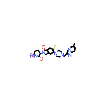 Cc1ccc2nc(CN3CCN(c4cc5c(cc4F)C(=O)N(C4CCC(=O)NC4=O)C5)CC3)cn2c1